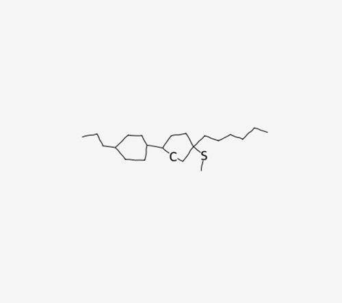 CCCCCCC1(SC)CCC(C2CCC(CCC)CC2)CC1